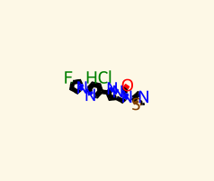 Cl.O=C1N(c2cncs2)Cc2cc(-c3ccc(N4CCC(F)C4)nc3)nn21